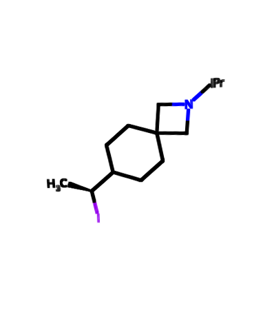 CC(C)N1CC2(CCC([C@H](C)I)CC2)C1